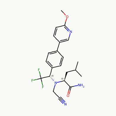 COc1ccc(-c2ccc([C@H](N(CC#N)[C@@H](CC(C)C)C(N)=O)C(F)(F)F)cc2)cn1